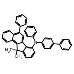 CC1(C)c2cccc(N(c3ccccc3)c3ccc(-c4ccccc4)cc3)c2-c2cc(-c3ccccc3)c3ccccc3c21